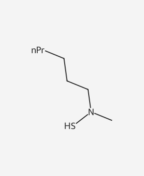 CCCCCCN(C)S